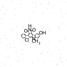 Cn1c2ccc(O)cc2c2c3c(c(-c4ccccc4Cl)cc21)C(=O)NC3=O